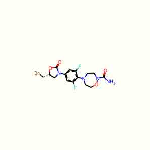 NC(=O)N1CCN(c2c(F)cc(N3C[C@H](CBr)OC3=O)cc2F)CCO1